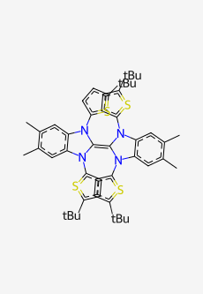 Cc1cc2c(cc1C)N(c1ccc(C(C)(C)C)s1)C(=C1N(c3ccc(C(C)(C)C)s3)c3cc(C)c(C)cc3N1c1ccc(C(C)(C)C)s1)N2c1ccc(C(C)(C)C)s1